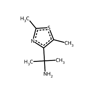 Cc1nc(C(C)(C)N)c(C)s1